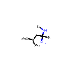 CCNC(N)(CC)C[SiH](OC)OC